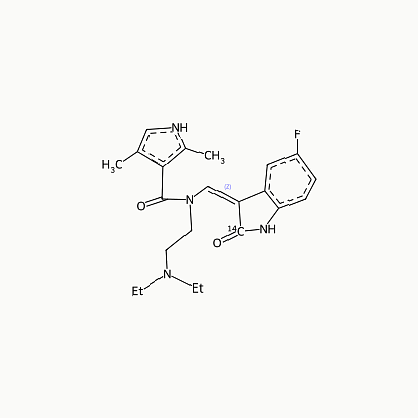 CCN(CC)CCN(/C=C1/c2cc(F)ccc2N[14C]1=O)C(=O)c1c(C)c[nH]c1C